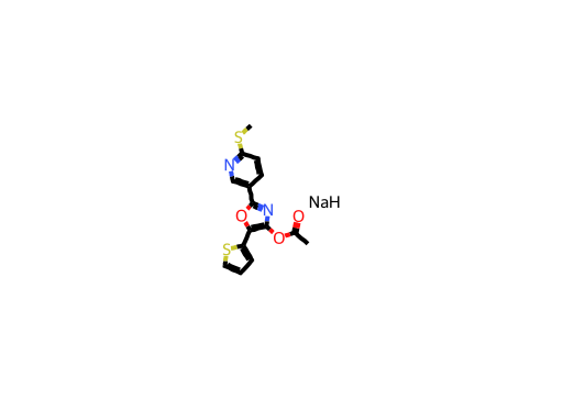 CSc1ccc(-c2nc(OC(C)=O)c(-c3cccs3)o2)cn1.[NaH]